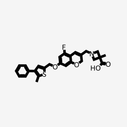 Cc1sc(COc2cc(F)c3c(c2)OCC(CN2CC(C)(C(=O)O)C2)=C3)cc1-c1ccccc1